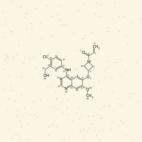 C=CC(=O)N1CC(Oc2cc3c(Nc4ccc(Cl)c(CO)c4)ncnc3cc2OC)C1